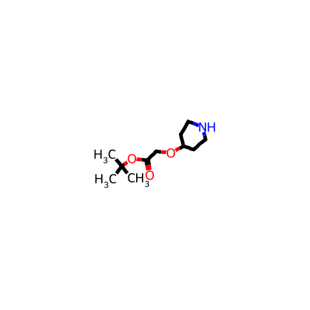 CC(C)(C)OC(=O)COC1CCNCC1